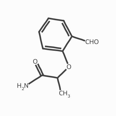 CC(Oc1ccccc1C=O)C(N)=O